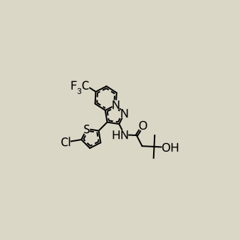 CC(C)(O)CC(=O)Nc1nn2ccc(C(F)(F)F)cc2c1-c1ccc(Cl)s1